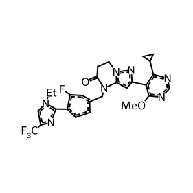 CCn1cc(C(F)(F)F)nc1-c1ccc(CN2C(=O)CCn3nc(-c4c(OC)ncnc4C4CC4)cc32)cc1F